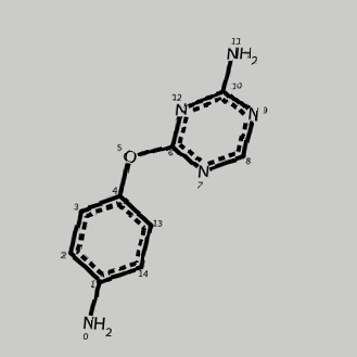 Nc1ccc(Oc2ncnc(N)n2)cc1